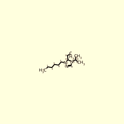 CCCCCCN1N=CN(C(C)C)C1CC